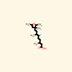 CC1=CC(C)(/C=C/C(C)=C(F)/C=C/C(C)=C/C(=O)O)C(C)O1